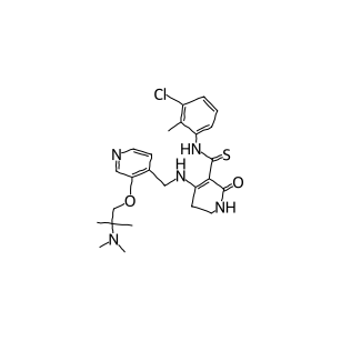 Cc1c(Cl)cccc1NC(=S)C1=C(NCc2ccncc2OCC(C)(C)N(C)C)CCNC1=O